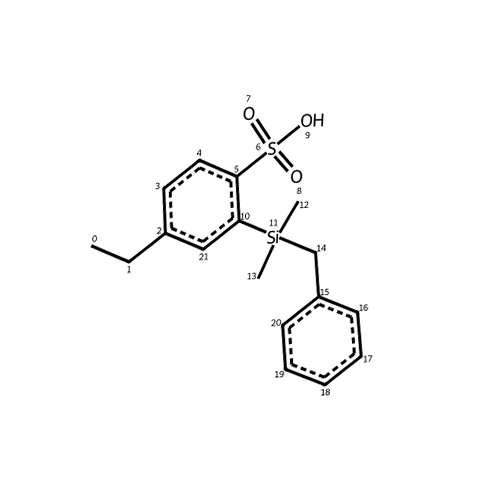 CCc1ccc(S(=O)(=O)O)c([Si](C)(C)Cc2ccccc2)c1